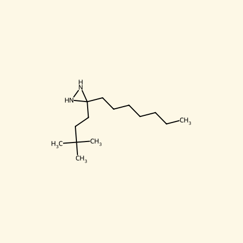 CCCCCCCC1(CCC(C)(C)C)NN1